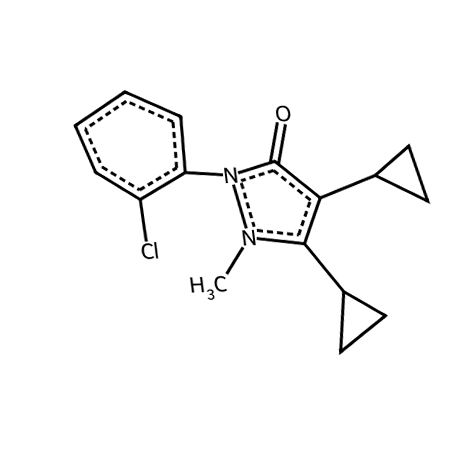 Cn1c(C2CC2)c(C2CC2)c(=O)n1-c1ccccc1Cl